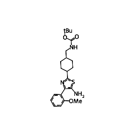 COc1ccccc1-c1nc(C2CCC(CNC(=O)OC(C)(C)C)CC2)sc1N